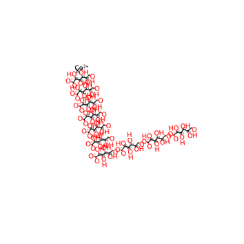 O=C[C@H](O)[C@@H](O)[C@@H](O)[C@H](O)C(=O)[O-].O=C[C@H](O)[C@@H](O)[C@@H](O)[C@H](O)C(=O)[O-].O=C[C@H](O)[C@@H](O)[C@@H](O)[C@H](O)C(=O)[O-].O=C[C@H](O)[C@@H](O)[C@@H](O)[C@H](O)C(=O)[O-].O=C[C@H](O)[C@@H](O)[C@@H](O)[C@H](O)C(=O)[O-].O=C[C@H](O)[C@@H](O)[C@@H](O)[C@H](O)C(=O)[O-].O=C[C@H](O)[C@@H](O)[C@@H](O)[C@H](O)C(=O)[O-].O=C[C@H](O)[C@@H](O)[C@@H](O)[C@H](O)C(=O)[O-].O=C[C@H](O)[C@@H](O)[C@@H](O)[C@H](O)C(=O)[O-].O=C[C@H](O)[C@@H](O)[C@@H](O)[C@H](O)C(=O)[O-].[Co+2].[K+]